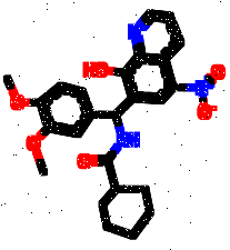 COc1ccc(C(NC(=O)C2CCCCC2)c2cc([N+](=O)[O-])c3cccnc3c2O)cc1OC